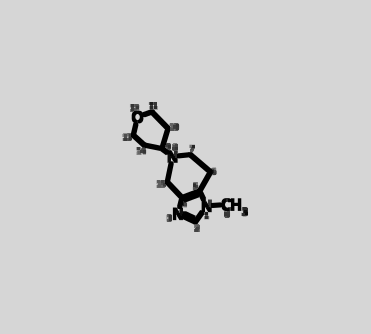 Cn1cnc2c1CCN(C1CCOCC1)C2